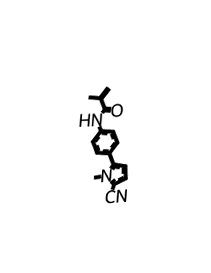 C=C(C)C(=O)Nc1ccc(-c2ccc(C#N)n2C)cc1